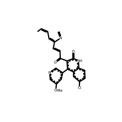 C=NC(=C\C=C/C)/C=C/C(=O)c1c(-c2cncc(OC)c2)c2cc(Cl)ccc2[nH]c1=O